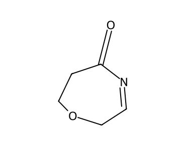 O=C1CCOCC=N1